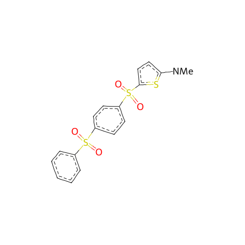 CNc1ccc(S(=O)(=O)c2ccc(S(=O)(=O)c3ccccc3)cc2)s1